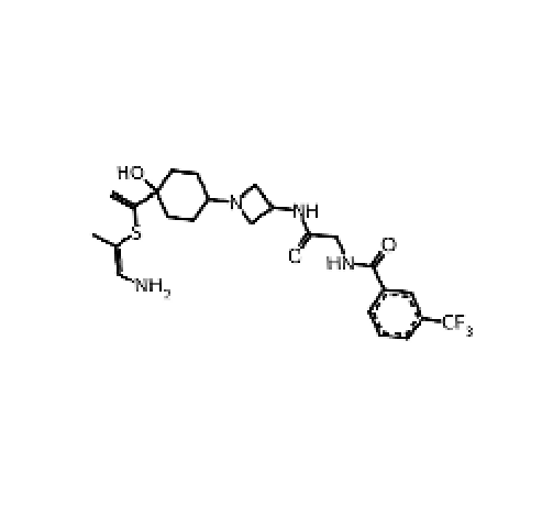 C=C(S/C(C)=C\N)C1(O)CCC(N2CC(NC(=O)CNC(=O)c3cccc(C(F)(F)F)c3)C2)CC1